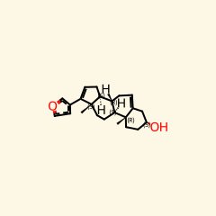 C[C@]12CC[C@H](O)CC1=CC[C@@H]1[C@@H]2CC[C@]2(C)C(c3ccoc3)=CC[C@@H]12